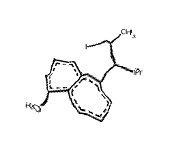 CC(C)C(c1cccc2c(O)cccc12)C(C)I